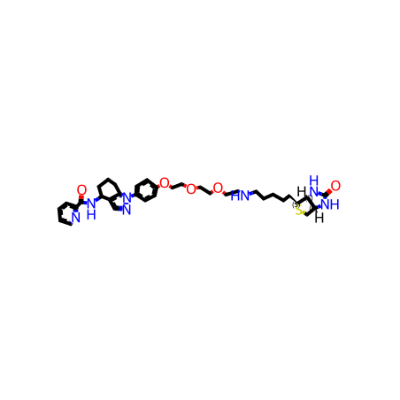 O=C1N[C@H]2[C@H](CS[C@H]2CCCCCNCCOCCOCCOc2ccc(-n3ncc4c3CCCC4NC(=O)c3ccccn3)cc2)N1